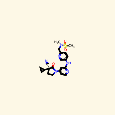 CN(Cc1ccc(Nc2cc(N3CC[C@@](C#N)(C4CC4)C3=O)ccn2)cn1)S(C)(=O)=O